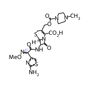 CO/N=C(/C(=O)NC1C(=O)N2C(C(=O)O)=C(COC(=O)N3CCN(C)CC3)CS[C@H]12)c1csc(N)n1